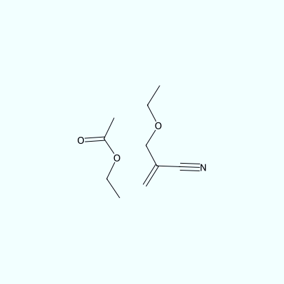 C=C(C#N)COCC.CCOC(C)=O